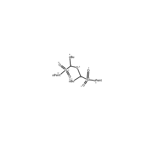 CCCCCS(=O)(=O)C(CCCC)OC(CCCC)S(=O)(=O)CCCCC